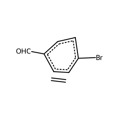 C=C.O=Cc1ccc(Br)cc1